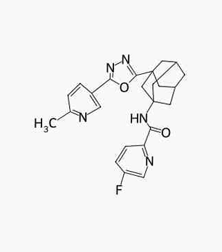 Cc1ccc(-c2nnc(C34CC5CC(CC(NC(=O)c6ccc(F)cn6)(C5)C3)C4)o2)cn1